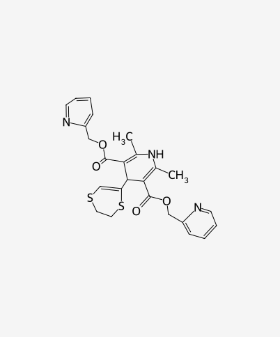 CC1=C(C(=O)OCc2ccccn2)C(C2=CSCCS2)C(C(=O)OCc2ccccn2)=C(C)N1